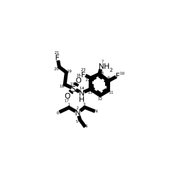 CCN(CC)CC.Nc1c(F)ccc(NS(=O)(=O)CCCF)c1F